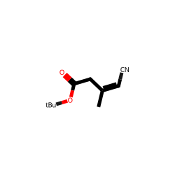 CC(=CC#N)CC(=O)OC(C)(C)C